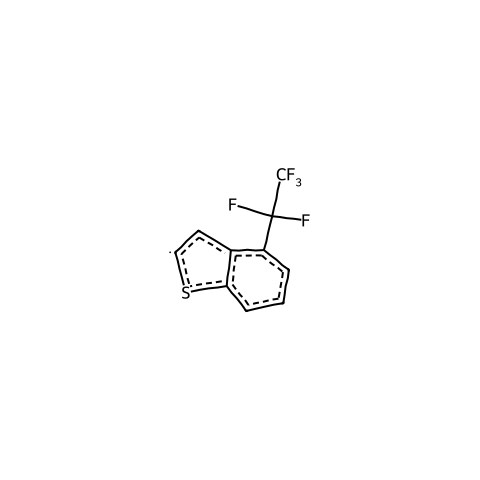 FC(F)(F)C(F)(F)c1cccc2s[c]cc12